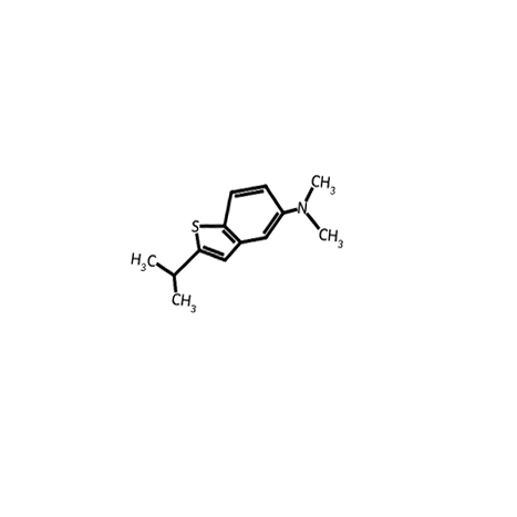 CC(C)c1cc2cc(N(C)C)ccc2s1